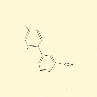 Cc1ccc(-c2cccc(C(=O)O)c2)c(F)c1